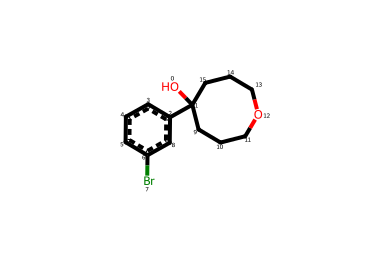 OC1(c2cccc(Br)c2)CCCOCCC1